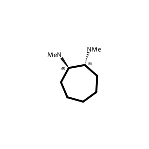 CN[C@@H]1CCCCC[C@H]1NC